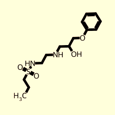 CCCS(=O)(=O)NCCNCC(O)COc1ccccc1